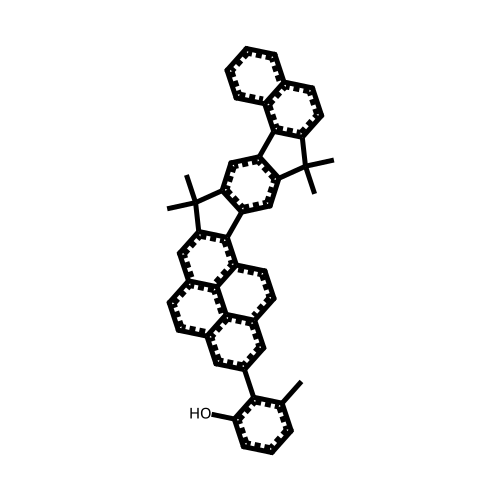 Cc1cccc(O)c1-c1cc2ccc3cc4c(c5ccc(c1)c2c35)-c1cc2c(cc1C4(C)C)-c1c(ccc3ccccc13)C2(C)C